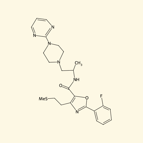 CSCCc1nc(-c2ccccc2F)oc1C(=O)NC(C)CN1CCN(c2ncccn2)CC1